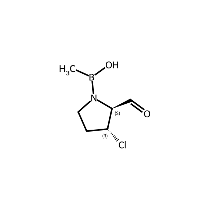 CB(O)N1CC[C@@H](Cl)[C@@H]1C=O